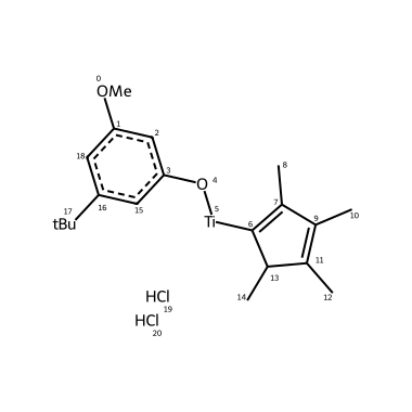 COc1cc([O][Ti][C]2=C(C)C(C)=C(C)C2C)cc(C(C)(C)C)c1.Cl.Cl